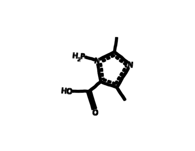 Cc1nc(C)n(P)c1C(=O)O